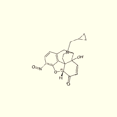 O=Nc1ccc2c3c1O[C@H]1C(=O)C=CC4(O)C(C2)N(CC2CC2)CCC314